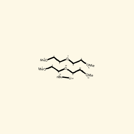 COCCOCCOC.COCCOCCOC.[Li][CH2]CCC